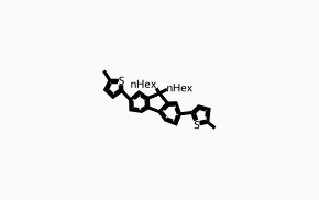 CCCCCCC1(CCCCCC)c2cc(-c3ccc(C)s3)ccc2-c2ccc(-c3ccc(C)s3)cc21